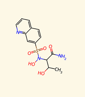 CC(O)C(C(N)=O)N(O)S(=O)(=O)c1ccc2cccnc2c1